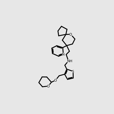 c1ccc(C2(CCNCc3sccc3COC3CCCCO3)CCOC3(CCCC3)C2)nc1